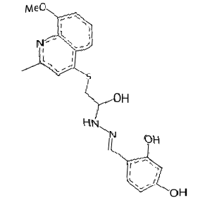 COc1cccc2c(SCC(O)N/N=C/c3ccc(O)cc3O)cc(C)nc12